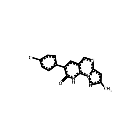 Cc1cc2ncc3cc(-c4ccc(Cl)cc4)c(=O)[nH]c3n2n1